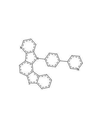 c1cncc(-c2ccc(-n3c4cccnc4c4ccc5sc6ccccc6c5c43)cc2)c1